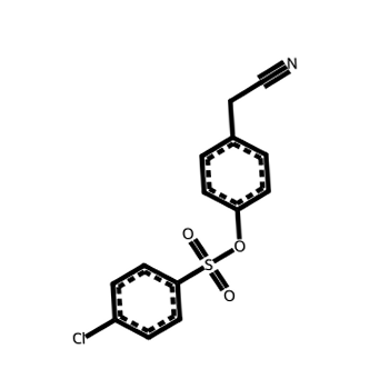 N#CCc1ccc(OS(=O)(=O)c2ccc(Cl)cc2)cc1